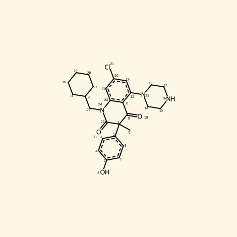 CC1(c2ccc(O)cc2)C(=O)c2c(N3CCNCC3)cc(Cl)cc2N(CC2CCCCC2)C1=O